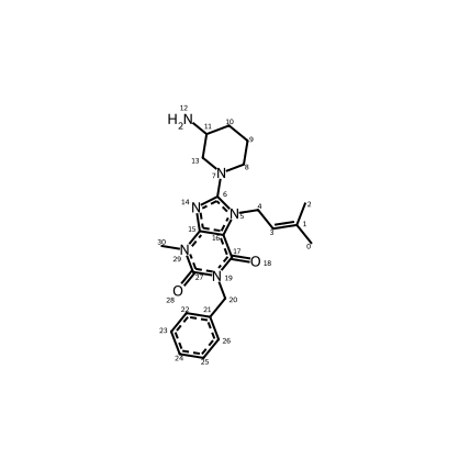 CC(C)=CCn1c(N2CCCC(N)C2)nc2c1c(=O)n(Cc1ccccc1)c(=O)n2C